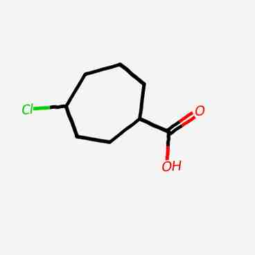 O=C(O)C1CCCC(Cl)CC1